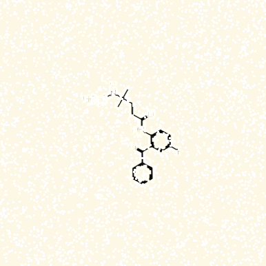 CC(C)(CCC(=O)Nc1ccc(F)cc1C(=O)c1ccccc1)NC(=O)O